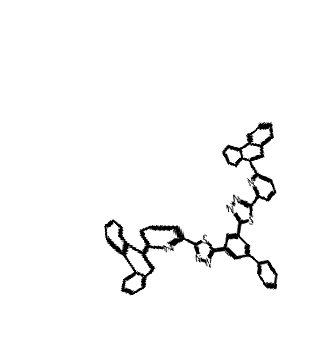 c1ccc(-c2cc(-c3nnc(-c4cccc(-c5cc6ccccc6c6ccccc56)n4)s3)cc(-c3nnc(-c4cccc(-c5cc6ccccc6c6ccccc56)n4)s3)c2)cc1